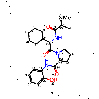 CN[C@@H](C)C(=O)N[C@H](C(=O)N1CCC[C@H]1C(=O)Nc1ccccc1O)C1CCCCC1